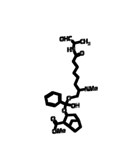 CNC(CCCCCC(=O)NC(C)C=O)COC(O)(OC1CC2CCC(C2)C1C(=O)OC)c1ccccc1